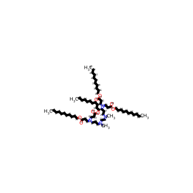 CCCCCCCCCCCOC(=O)CCN(CCCN(C)CCN(C)CCCN(CCC(=O)OCCCCCCCCCCC)CCC(=O)OCCCCCCCCCCC)CCC(=O)OCCCCCCCCCCC